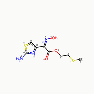 CCSCCOC(=O)/C(=N\O)c1csc(N)n1